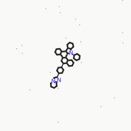 c1ccc(-n2c3ccccc3c3c4ccccc4c4cc(-c5ccc(-c6cn7ccccc7n6)cc5)c5ccccc5c4c32)cc1